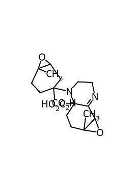 CC12CCC(C(=O)O)(N3CCN=C4C5OC5(C)CCC43C(=O)O)CC1O2